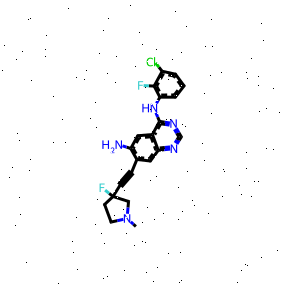 CN1CCC(F)(C#Cc2cc3ncnc(Nc4cccc(Cl)c4F)c3cc2N)C1